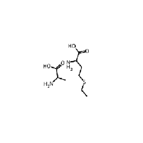 CC(N)C(=O)O.CCSCCC(N)C(=O)O